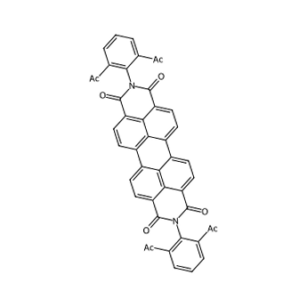 CC(=O)c1cccc(C(C)=O)c1N1C(=O)c2ccc3c4ccc5c6c(ccc(c7ccc(c2c37)C1=O)c64)C(=O)N(c1c(C(C)=O)cccc1C(C)=O)C5=O